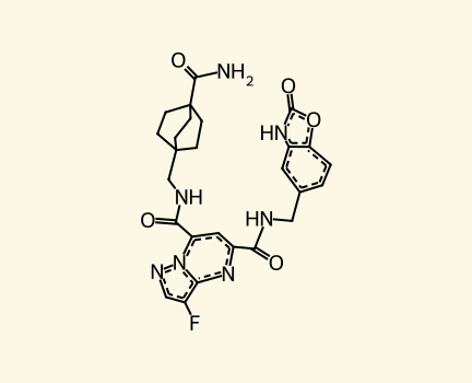 NC(=O)C12CCC(CNC(=O)c3cc(C(=O)NCc4ccc5oc(=O)[nH]c5c4)nc4c(F)cnn34)(CC1)CC2